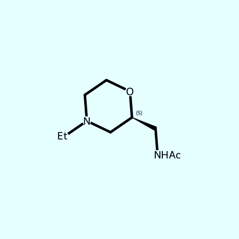 CCN1CCO[C@@H](CNC(C)=O)C1